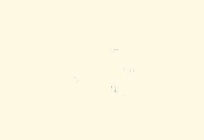 NC(=S)S.[Co]